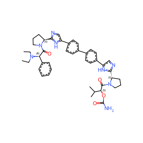 CCN(CC)[C@@H](C(=O)N1CCC[C@H]1c1ncc(-c2ccc(-c3ccc(-c4cnc([C@@H]5CCCN5C(=O)[C@@H](OC(N)=O)C(C)C)[nH]4)cc3)cc2)[nH]1)c1ccccc1